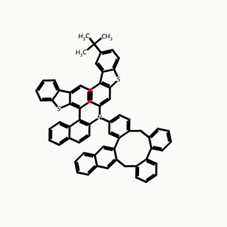 CC(C)(C)c1ccc2sc3cc(N(c4ccc5c(c4)-c4cc6ccccc6cc4Cc4ccccc4-c4ccccc4C5)c4ccc5ccccc5c4-c4cccc5c4sc4ccccc45)ccc3c2c1